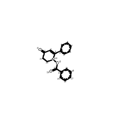 O=C1C=C(c2ccccc2)N(OC(=O)c2ccccc2)CC1